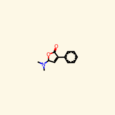 CN(C)C1C=C(c2ccccc2)C(=O)O1